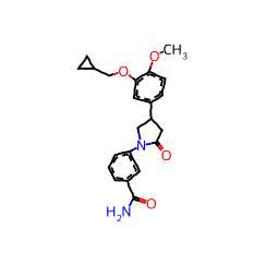 COc1ccc(C2CC(=O)N(c3cccc(C(N)=O)c3)C2)cc1OCC1CC1